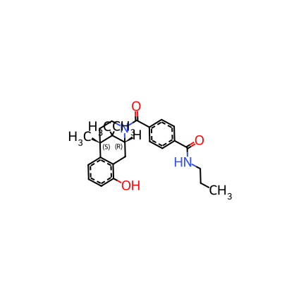 CCCNC(=O)c1ccc(C(=O)N2CC[C@@]3(C)c4cccc(O)c4C[C@@H]2C3(C)C)cc1